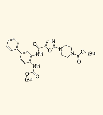 CC(C)(C)OC(=O)Nc1ccc(-c2ccccc2)cc1NC(=O)c1cnc(N2CCN(C(=O)OC(C)(C)C)CC2)o1